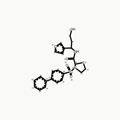 O=C(NC(CCO)c1ccoc1)C1SCCN1S(=O)(=O)c1ccc(-c2ccccc2)cc1